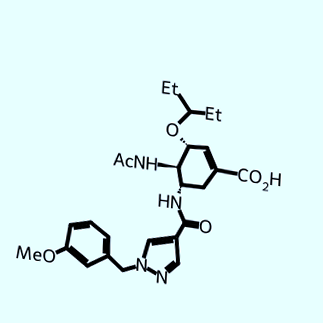 CCC(CC)O[C@@H]1C=C(C(=O)O)C[C@H](NC(=O)c2cnn(Cc3cccc(OC)c3)c2)[C@H]1NC(C)=O